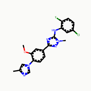 COc1cc(-c2nc(Nc3cc(Cl)ccc3F)n(C)n2)ccc1-n1cnc(C)c1